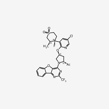 CC(=O)[C@@H]1C[C@H](Oc2ncc(Cl)cc2[C@@]2(F)CCS(=O)(=O)C[C@@H]2C)CN1c1nc(C(F)(F)F)nc2c1oc1ccccc12